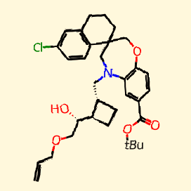 C=CCOC[C@H](O)[C@@H]1CC[C@H]1CN1CC2(CCCc3cc(Cl)ccc32)COc2ccc(C(=O)OC(C)(C)C)cc21